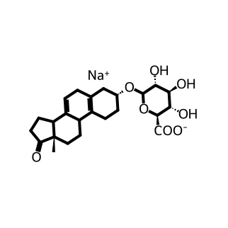 C[C@]12CCC3C(=CCC4=C3CC[C@@H](OC3O[C@H](C(=O)[O-])[C@@H](O)[C@H](O)[C@H]3O)C4)C1CCC2=O.[Na+]